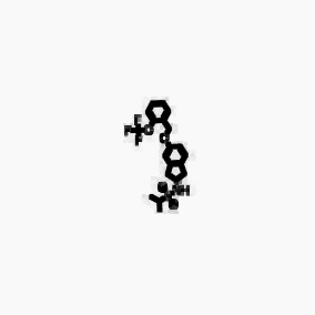 CC(C)S(=O)(=O)N[C@H]1Cc2ccc(OCc3ccccc3OC(F)(F)F)cc2C1